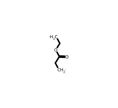 [CH2]COC(=O)C[CH2]